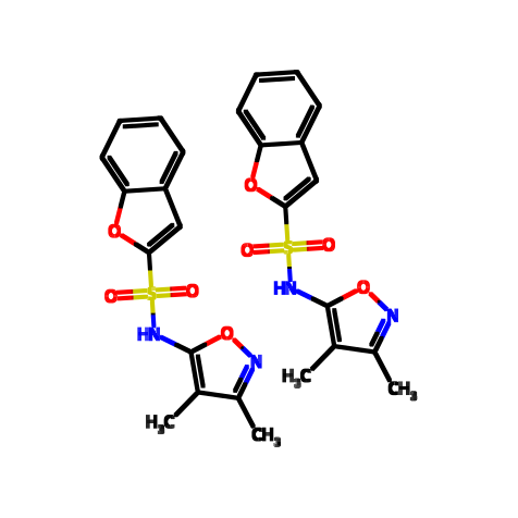 Cc1noc(NS(=O)(=O)c2cc3ccccc3o2)c1C.Cc1noc(NS(=O)(=O)c2cc3ccccc3o2)c1C